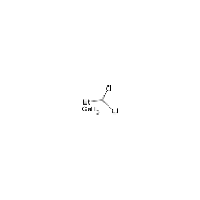 C[CH]C(Cl)Cl.[GaH3]